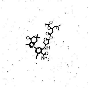 CC(=O)OC(CC(=O)OC1CC(Nc2cc(-n3cc(C)c4c3CC(C)(C)CC4=O)cc(F)c2C(N)=O)CO1)CN(C)C